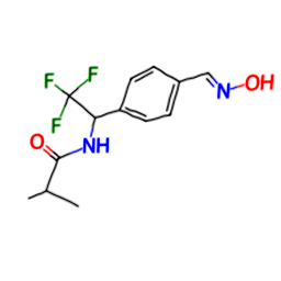 CC(C)C(=O)NC(c1ccc(C=NO)cc1)C(F)(F)F